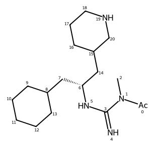 CC(=O)N(C)C(=N)N[C@H](CC1CCCCC1)CC1CCCNC1